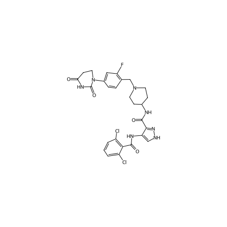 O=C1CCN(c2ccc(CN3CCC(NC(=O)c4n[nH]cc4NC(=O)c4c(Cl)cccc4Cl)CC3)c(F)c2)C(=O)N1